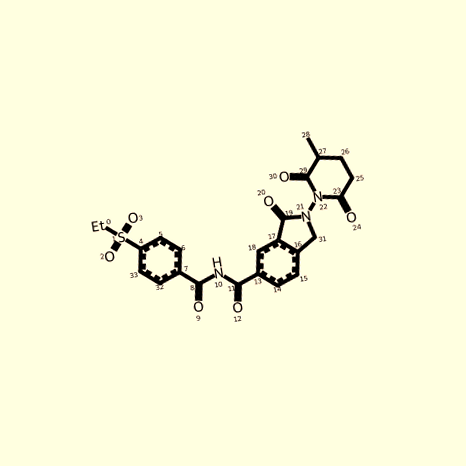 CCS(=O)(=O)c1ccc(C(=O)NC(=O)c2ccc3c(c2)C(=O)N(N2C(=O)CCC(C)C2=O)C3)cc1